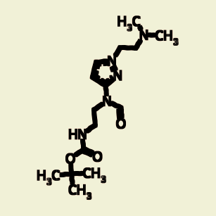 CN(C)CCn1ccc(N(C=O)CCNC(=O)OC(C)(C)C)n1